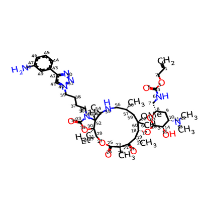 C=CCOC(=O)NC[C@@H]1C[C@H](N(C)C)[C@@H](O)C(O[C@@H]2[C@H](C)C(=O)[C@@H](C)C(=O)O[C@H](CC)[C@@]3(C)OC(=O)N(CCCCn4cc(-c5cccc(N)c5)nn4)[C@@H]3[C@@H](C)NC[C@H](C)C[C@@]2(C)OC)O1